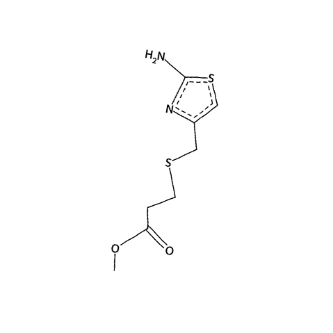 COC(=O)CCSCc1csc(N)n1